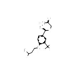 O=C1COC(c2ccc(NCCC(F)F)c(C(F)(F)F)c2)=NN1